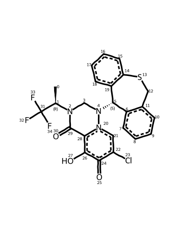 C[C@@H](N1CN([C@H]2c3ccccc3CSc3ccccc32)n2cc(Cl)c(=O)c(O)c2C1=O)C(F)(F)F